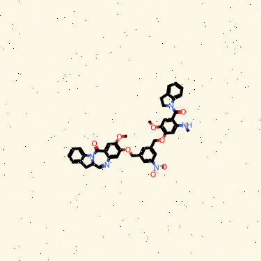 CNc1cc(OCc2cc(COc3cc4c(cc3OC)C(=O)N3c5ccccc5CC3C=N4)cc([N+](=O)[O-])c2)c(OC)cc1C(=O)N1CCc2ccccc21